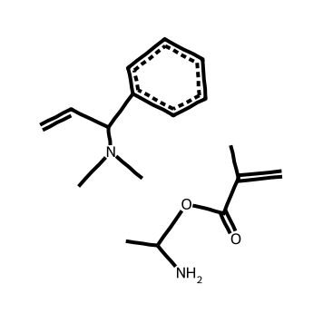 C=C(C)C(=O)OC(C)N.C=CC(c1ccccc1)N(C)C